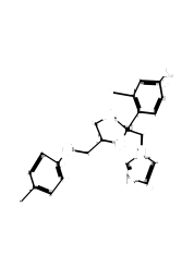 Cc1ccc(OCC2COC(Cn3ccnc3)(c3ccc(Cl)cc3C)O2)cc1